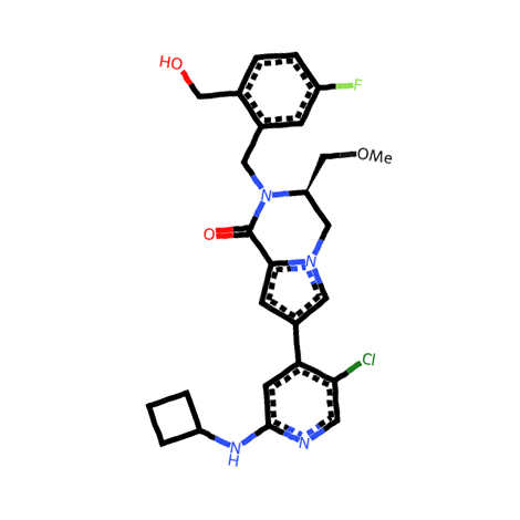 COC[C@H]1Cn2cc(-c3cc(NC4CCC4)ncc3Cl)cc2C(=O)N1Cc1cc(F)ccc1CO